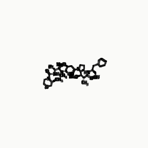 CC[C@H](C)[C@@H]([C@H](CC(=O)N1CCC[C@H]1[C@H](OC)[C@@H](C)C(=O)N[C@H](CO)Cc1ccccc1)OC)N(C)C(=O)[C@@H](NC(=O)N1CCOC[C@@H]1C)C(C)C